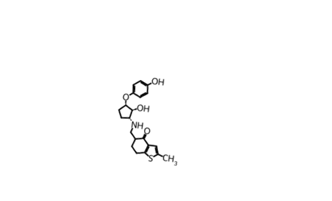 Cc1cc2c(s1)CCC(CN[C@@H]1CC[C@@H](Oc3ccc(O)cc3)[C@H]1O)C2=O